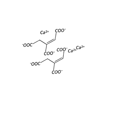 O=C([O-])C=C(CC(=O)[O-])C(=O)[O-].O=C([O-])C=C(CC(=O)[O-])C(=O)[O-].[Ca+2].[Ca+2].[Ca+2]